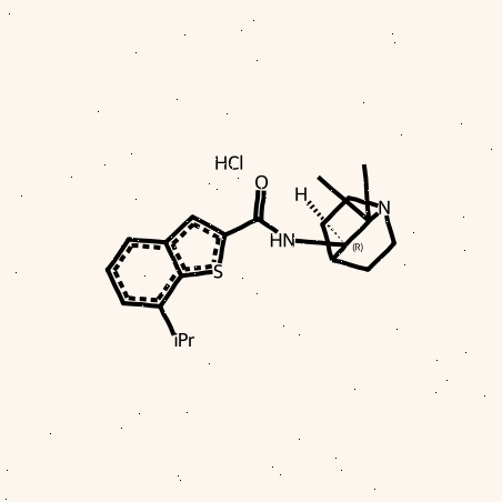 CC(C)c1cccc2cc(C(=O)N[C@@H]3C4CCN(CC4)C3(C)C)sc12.Cl